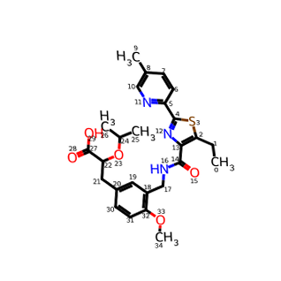 CCc1sc(-c2ccc(C)cn2)nc1C(=O)NCc1cc(CC(OC(C)C)C(=O)O)ccc1OC